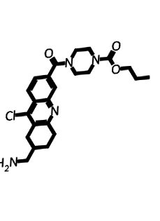 CCCOC(=O)N1CCN(C(=O)c2ccc3c(Cl)c4c(nc3c2)CCC(CN)C4)CC1